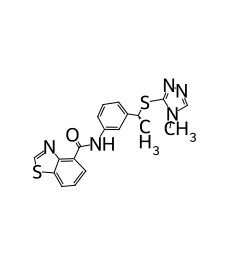 C[C@H](Sc1nncn1C)c1cccc(NC(=O)c2cccc3scnc23)c1